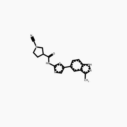 Cc1n[nH]c2ccc(-c3cnc(NC(=O)C4CCN(C#N)C4)s3)cc12